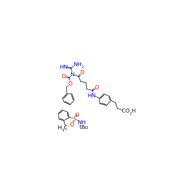 Cc1ccccc1S(=O)(=O)NC(C)(C)C.N=C(N)N(C(=O)CCCC(=O)Nc1ccc(CCC(=O)O)cc1)C(=O)OCc1ccccc1